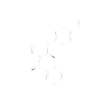 COc1ccc(C[C@@H](C)N(C(C)=O)[C@H](C)c2ccccc2)cc1